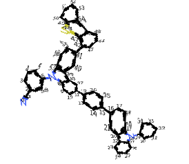 N#Cc1cccc(-n2c3ccc(-c4ccc(-c5ccc6c(c5)c5ccccc5n6-c5ccccc5)cc4)cc3c3cc(-c4cccc5c4sc4ccccc45)ccc32)c1